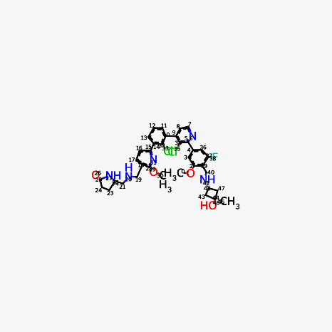 COc1cc(-c2nccc(-c3cccc(-c4ccc(CNC[C@H]5CCC(=O)N5)c(OC)n4)c3Cl)c2Cl)cc(F)c1CN[C@H]1C[C@](C)(O)C1